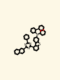 c1ccc(-c2nc(-c3ccc4ccccc4c3)nc(-c3cccc4sc5cc(N(c6ccccc6)c6ccccc6-c6ccccc6)ccc5c34)n2)cc1